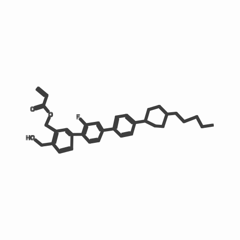 C=CC(=O)OCc1cc(-c2ccc(-c3ccc(C4CCC(CCCCC)CC4)cc3)cc2F)ccc1CO